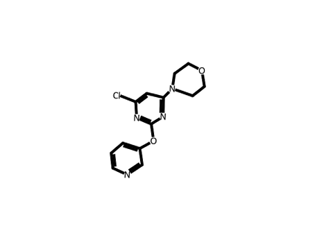 Clc1cc(N2CCOCC2)nc(Oc2cccnc2)n1